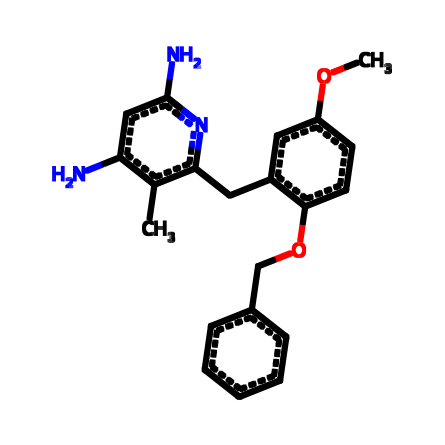 COc1ccc(OCc2ccccc2)c(Cc2nc(N)cc(N)c2C)c1